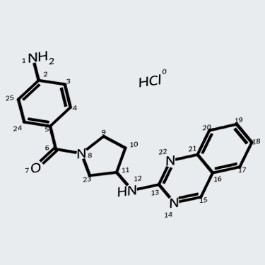 Cl.Nc1ccc(C(=O)N2CCC(Nc3ncc4ccccc4n3)C2)cc1